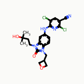 CC(C)(O)CCn1c(=O)n(CC2COC2)c2ccc(Nc3nc(Cl)c(C#N)cc3Cl)cc21